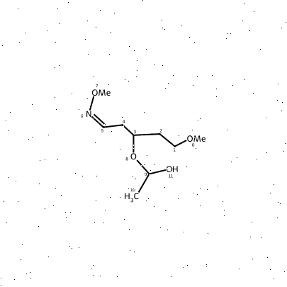 COCCC(C/C=N\OC)OC(C)O